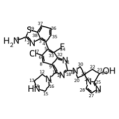 Nc1nc2c(-c3c(Cl)cc4c(N5CCNCC5)nc(N5CC6(CC(O)c7nccn76)C5)nc4c3F)cccc2s1